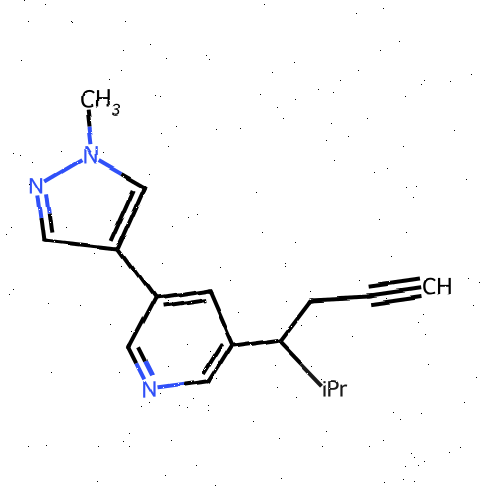 C#CCC(c1cncc(-c2cnn(C)c2)c1)C(C)C